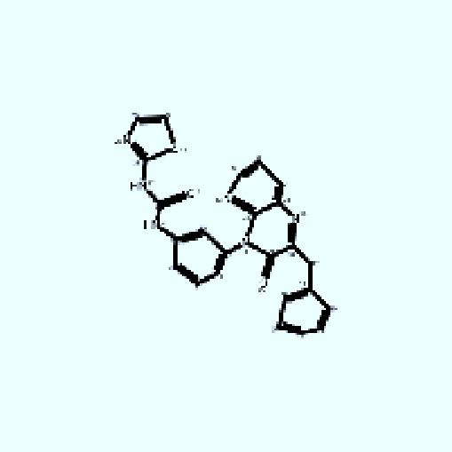 O=C(Nc1cccc(-n2c(=O)c(Cc3ccccc3)nc3cccnc32)c1)Nc1nccs1